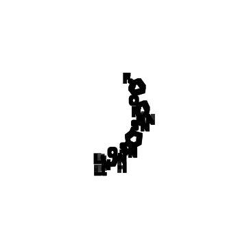 CCN(CC)CC(=O)Nc1nc2ccc(Sc3nnc4ccc(Oc5cccc(F)c5)nn34)cc2s1